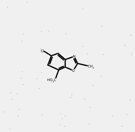 Cc1nc2cc(Cl)cc(C(=O)O)c2o1